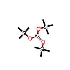 C[Si](C)(C)O[As](O[Si](C)(C)C)O[Si](C)(C)C